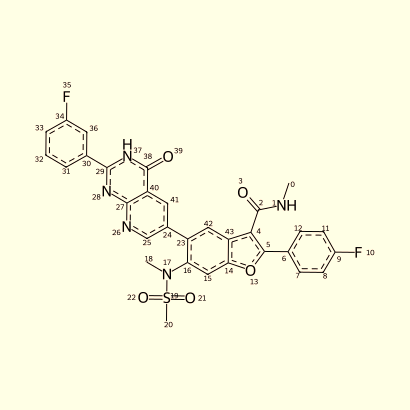 CNC(=O)c1c(-c2ccc(F)cc2)oc2cc(N(C)S(C)(=O)=O)c(-c3cnc4nc(-c5cccc(F)c5)[nH]c(=O)c4c3)cc12